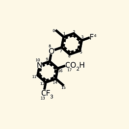 Cc1cc(F)ccc1Oc1ncc(C(F)(F)F)c(C)c1C(=O)O